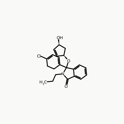 CCCN1C(=O)c2ccccc2C1(O[C@H]1C=C[C@@H](O)C1)C1=CC=C(Cl)CC1